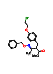 COC(=O)C(Cc1ccc(OCCBr)cc1)C(C)=NOCc1ccccc1